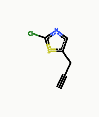 C#CCc1cnc(Cl)s1